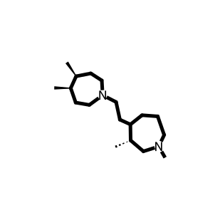 C[C@@H]1CCN(CCC2CCCN(C)C[C@@H]2C)CC[C@@H]1C